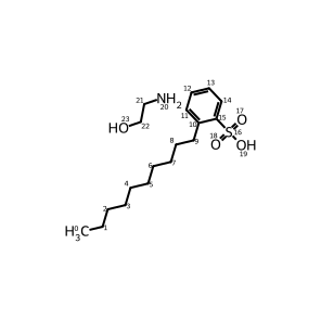 CCCCCCCCCCc1ccccc1S(=O)(=O)O.NCCO